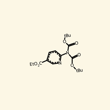 CCOC(=O)c1ccc(N(C(=O)OC(C)(C)C)C(=O)OC(C)(C)C)nc1